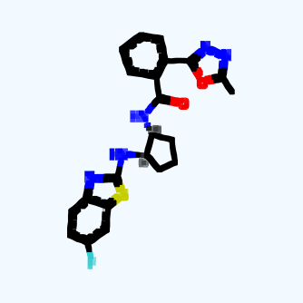 Cc1nnc(-c2ccccc2C(=O)N[C@@H]2CCC[C@H]2Nc2nc3ccc(F)cc3s2)o1